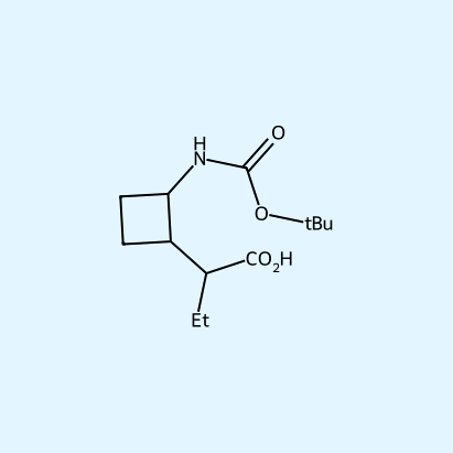 CCC(C(=O)O)C1CCC1NC(=O)OC(C)(C)C